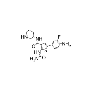 NC(=O)Nc1sc(-c2ccc(N)c(F)c2)cc1C(=O)N[C@H]1CCCNC1